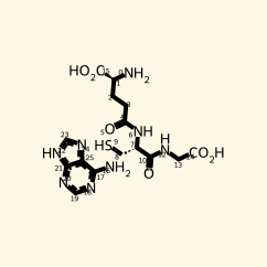 N[C@@H](CCC(=O)N[C@@H](CS)C(=O)NCC(=O)O)C(=O)O.Nc1ncnc2[nH]cnc12